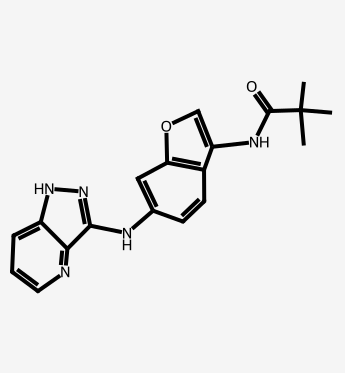 CC(C)(C)C(=O)Nc1coc2cc(Nc3n[nH]c4cccnc34)ccc12